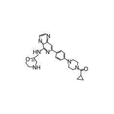 C[C@]1(CNc2nc(-c3ccc(N4CCN(C(=O)C5CC5)CC4)cc3)cc3nccnc23)CNCCO1